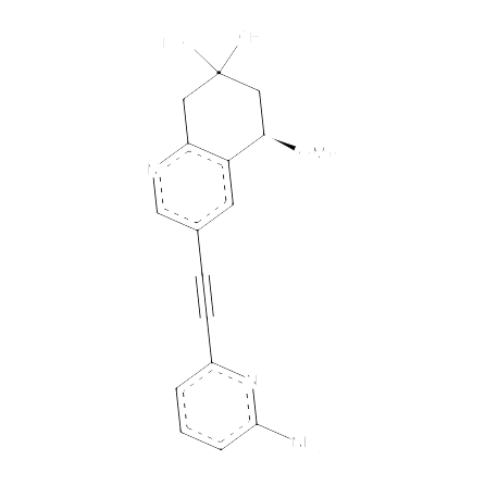 CO[C@@H]1CC(C)(C)Cc2ncc(C#Cc3cccc(N)n3)cc21